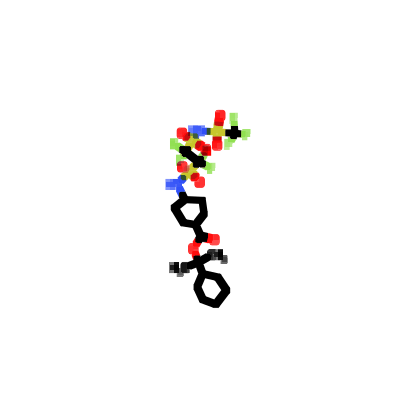 CC(C)(OC(=O)C1CCC(NS(=O)(=O)C(F)(F)C(F)(F)S(=O)(=O)NS(=O)(=O)C(F)(F)F)CC1)C1CCCCC1